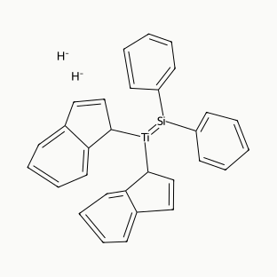 C1=C[CH]([Ti]([CH]2C=Cc3ccccc32)=[Si](c2ccccc2)c2ccccc2)c2ccccc21.[H-].[H-]